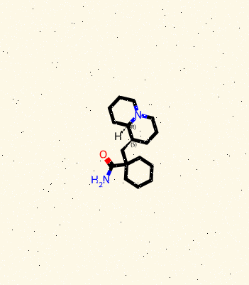 NC(=O)C1(C[C@@H]2CCCN3CCCC[C@H]23)CCCCC1